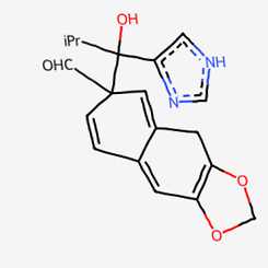 CC(C)C(O)(c1c[nH]cn1)C1(C=O)C=CC2=CC3=C(CC2=C1)OCO3